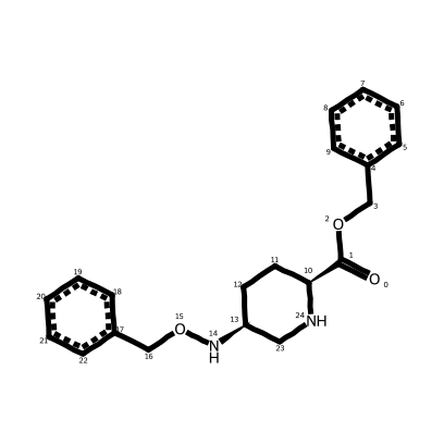 O=C(OCc1ccccc1)[C@@H]1CC[C@H](NOCc2ccccc2)CN1